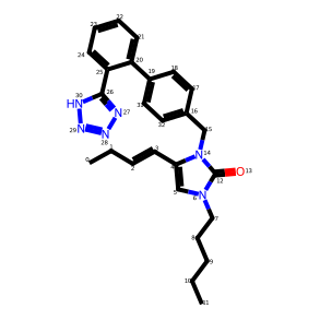 CC/C=C/c1cn(CCCCC)c(=O)n1Cc1ccc(-c2ccccc2-c2nnn[nH]2)cc1